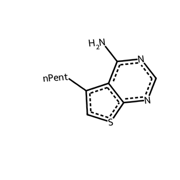 CCCCCc1csc2ncnc(N)c12